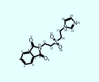 O=C1c2ccccc2C(=O)N1CCS(=O)(=O)CCn1ccnc1